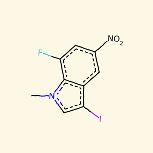 Cn1cc(I)c2cc([N+](=O)[O-])cc(F)c21